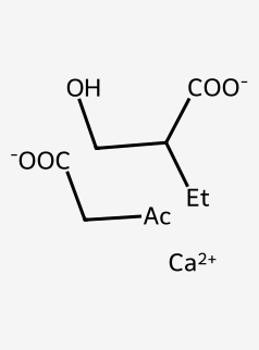 CC(=O)CC(=O)[O-].CCC(CO)C(=O)[O-].[Ca+2]